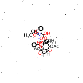 C=C(C)OC(=O)N[C@@H](c1ccccc1)[C@@H](O)C(=O)O[C@H]1C[C@@]2(O)[C@@H](OC(=O)c3ccccc3)[C@@H]3[C@]4(OC(C)=O)CO[C@@H]4C[C@@H]4C[C@@]43C(=O)[C@H](OC(C)=O)C(=C1C)C2(C)C